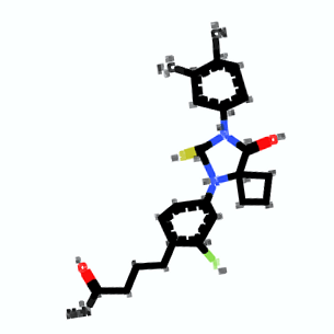 CNC(=O)CCCc1ccc(N2C(=S)N(c3ccc(C#N)c(C(F)(F)F)c3)C(=O)C23CCC3)cc1F